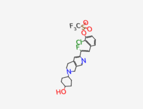 O=S(=O)(Oc1cccc(C=C(F)c2cc3c(cn2)CN(C2CCC(O)CC2)CC3)c1Cl)C(F)(F)F